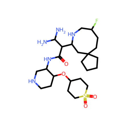 NC(N)C(C(=O)NC1CNCCC1OC1CCS(=O)(=O)CC1)C1CC2(CCCC2)CCC(F)CN1